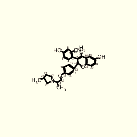 CC1=C(c2ccc(O)cc2C#N)C(c2ccc(OCC(C)N3CCC(C)C3)cc2)Oc2ccc(O)cc21